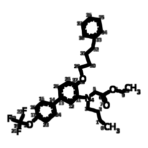 CCCCN(CC(=O)OCC)c1cc(-c2ccc(OC(F)(F)F)cc2)ccc1OCCCCc1ccccc1